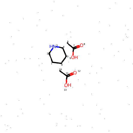 C1CCNCC1.CC(=O)O.CC(=O)O